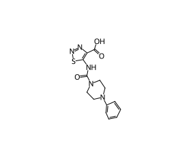 O=C(O)c1nnsc1NC(=O)N1CCN(c2ccccc2)CC1